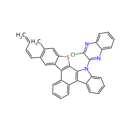 C=C/C=C\c1cc2c(cc1C)sc1c2c2ccccc2c2c3ccccc3n(-c3nc4ccccc4nc3Cl)c12